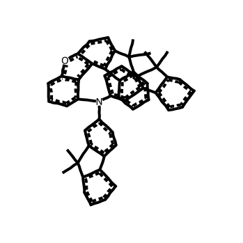 CC1(C)c2ccccc2-c2cc(N(c3ccc4c(c3)C(C)(C)c3ccccc3-4)c3cccc4oc5ccc6c(c5c34)-c3ccccc3C6(C)C)ccc21